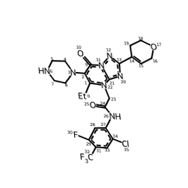 CCc1c(N2CCNCC2)c(=O)n2nc(C3=CCOCC3)nc2n1CC(=O)Nc1cc(F)c(C(F)(F)F)cc1Cl